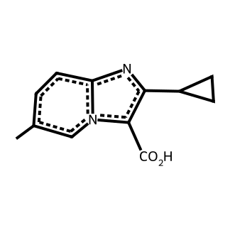 Cc1ccc2nc(C3CC3)c(C(=O)O)n2c1